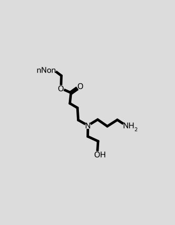 CCCCCCCCCCOC(=O)CCCN(CCO)CCCN